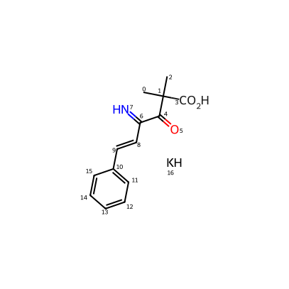 CC(C)(C(=O)O)C(=O)C(=N)C=Cc1ccccc1.[KH]